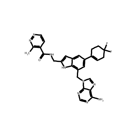 Cc1nnccc1C(=O)NCc1cc2cc(C3=CCC(F)(F)CC3)cc(Cn3cnc4c(N)ncnc43)c2[nH]1